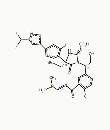 CN(C)/C=N/C(=O)c1cc([C@@H](CO)N2C(=O)[C@@](CC(C)(C)C)(c3ccc(-c4cnn(C(F)F)c4)cc3F)N/C2=N\C(=O)O)ccc1Cl